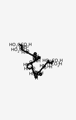 C=C(O)C(CCCCNC(=O)CCCCCCCNC(=O)C(Cc1ccccc1)NC(=O)C(Cc1ccccc1)NC(=O)CCCC(=O)N1CCCN(C(=O)CCCC(=O)NC(Cc2ccccc2)C(=O)NC(Cc2ccccc2)C(=O)NCCCCCCCC(=O)NCCCCC(NC(=O)NC(CCC(=O)O)C(=O)O)C(=O)O)CCNCCCNCC1)NC(=O)NC(CCC(=O)O)C(=O)O